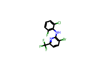 Fc1cccc(Cl)c1Nc1nc(C(F)(F)F)ccc1Br